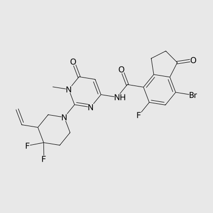 C=CC1CN(c2nc(NC(=O)c3c(F)cc(Br)c4c3CCC4=O)cc(=O)n2C)CCC1(F)F